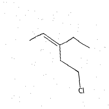 CC=C(CC)CCCl